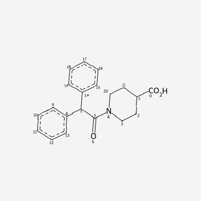 O=C(O)C1CCN(C(=O)C(c2ccccc2)c2ccccc2)CC1